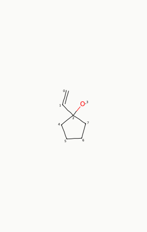 C=CC1([O])CCCC1